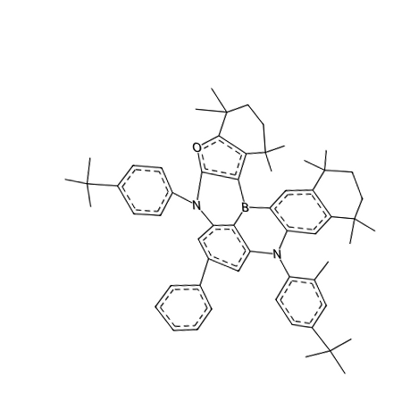 Cc1cc(C(C)(C)C)ccc1N1c2cc3c(cc2B2c4c1cc(-c1ccccc1)cc4N(c1ccc(C(C)(C)C)cc1)c1oc4c(c12)C(C)(C)CCC4(C)C)C(C)(C)CCC3(C)C